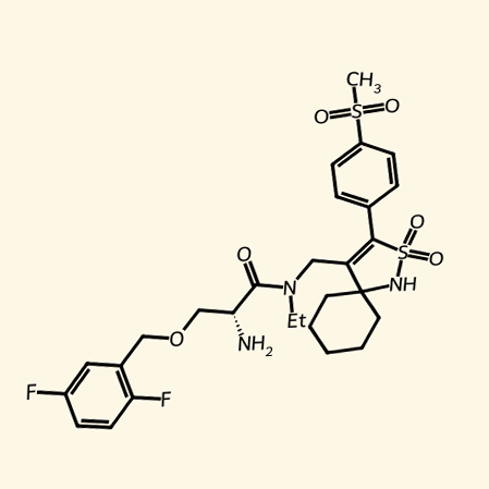 CCN(CC1=C(c2ccc(S(C)(=O)=O)cc2)S(=O)(=O)NC12CCCCC2)C(=O)[C@H](N)COCc1cc(F)ccc1F